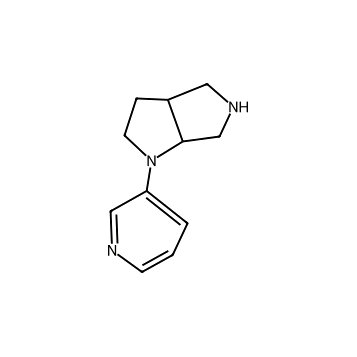 c1cncc(N2CCC3CNCC32)c1